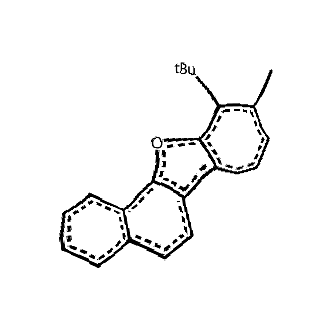 Cc1ccc2c(oc3c4ccccc4ccc23)c1C(C)(C)C